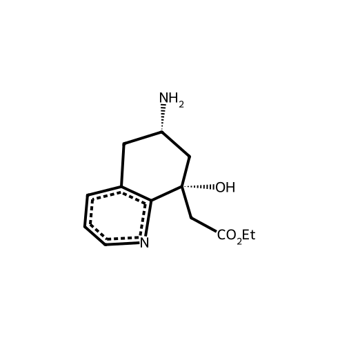 CCOC(=O)C[C@]1(O)C[C@@H](N)Cc2cccnc21